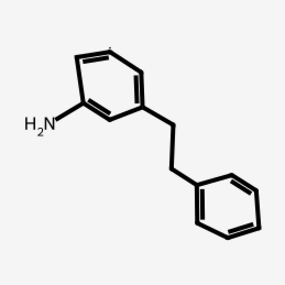 Nc1c[c]cc(CCc2ccccc2)c1